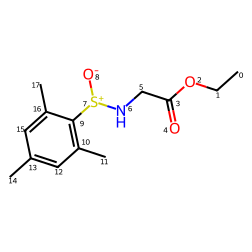 CCOC(=O)CN[S+]([O-])c1c(C)cc(C)cc1C